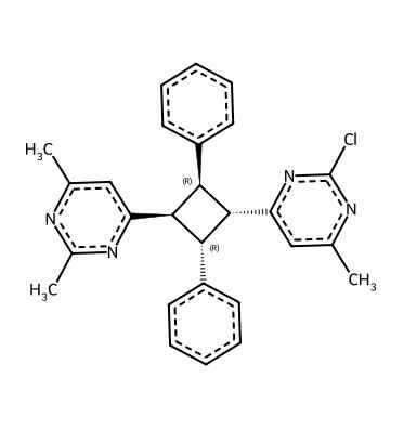 Cc1cc([C@H]2[C@@H](c3ccccc3)[C@H](c3cc(C)nc(Cl)n3)[C@@H]2c2ccccc2)nc(C)n1